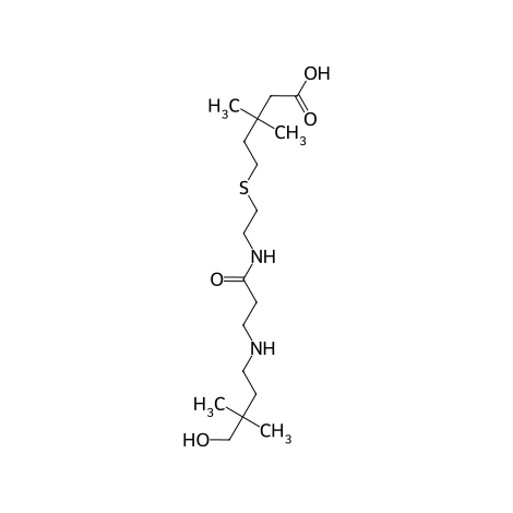 CC(C)(CO)CCNCCC(=O)NCCSCCC(C)(C)CC(=O)O